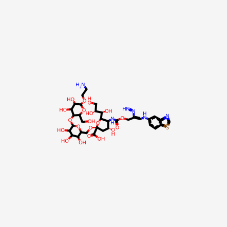 N=N/C(=C\Nc1ccc2scnc2c1)COC(=O)NC1C([C@H](O)[C@H](O)CO)O[C@@](OCC2OC(OC3C(CO)OC(OCCN)C(O)C3O)C(O)C(O)C2O)(C(=O)O)C[C@H]1O